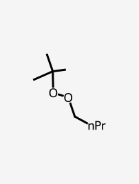 CCCCOOC(C)(C)C